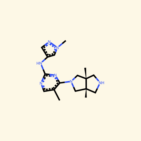 Cc1cnc(Nc2cnn(C)c2)nc1N1C[C@]2(C)CNC[C@]2(C)C1